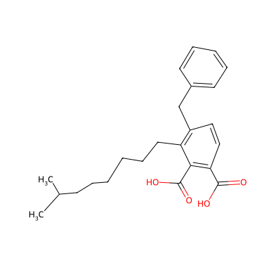 CC(C)CCCCCCc1c(Cc2ccccc2)ccc(C(=O)O)c1C(=O)O